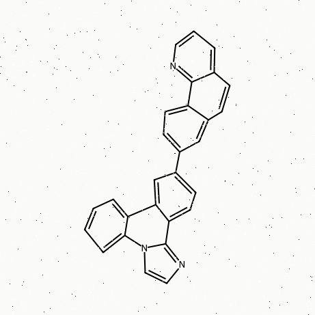 c1cnc2c(c1)ccc1cc(-c3ccc4c(c3)c3ccccc3n3ccnc43)ccc12